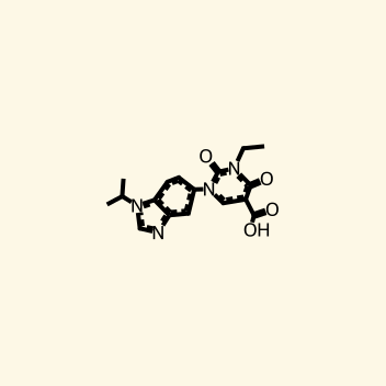 CCn1c(=O)c(C(=O)O)cn(-c2ccc3c(c2)ncn3C(C)C)c1=O